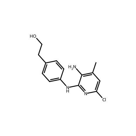 Cc1cc(Cl)nc(Nc2ccc(CCO)cc2)c1N